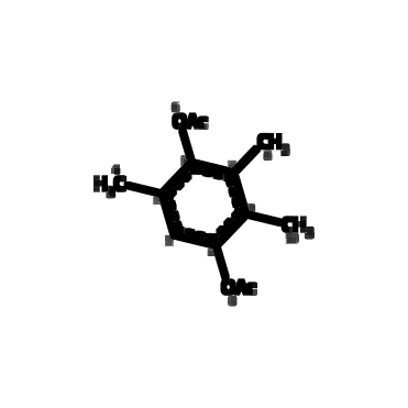 CC(=O)Oc1cc(C)c(OC(C)=O)c(C)c1C